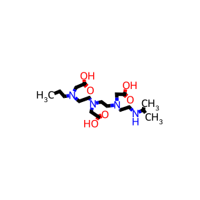 CCCN(CCN(CCN(CCNC(C)C)CC(=O)O)CC(=O)O)CC(=O)O